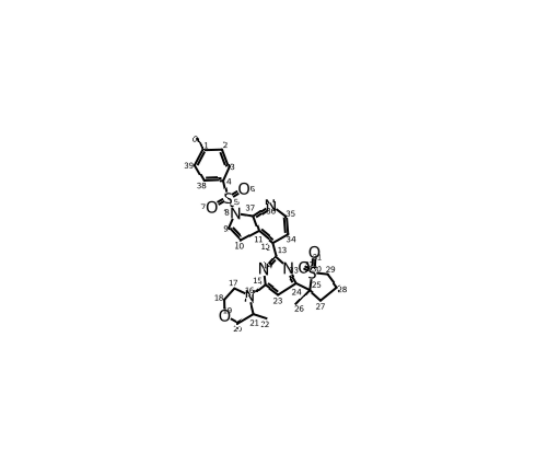 Cc1ccc(S(=O)(=O)n2ccc3c(-c4nc(N5CCOCC5C)cc(C5(C)CCCS5(=O)=O)n4)ccnc32)cc1